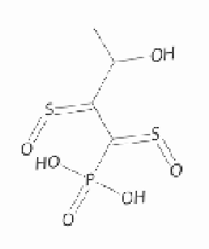 CC(O)C(=S=O)C(=S=O)P(=O)(O)O